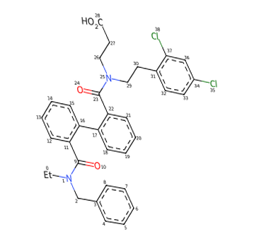 CCN(Cc1ccccc1)C(=O)c1ccccc1-c1ccccc1C(=O)N(CCC(=O)O)CCc1ccc(Cl)cc1Cl